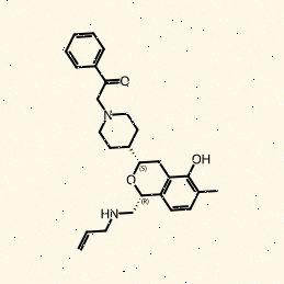 C=CCNC[C@@H]1O[C@H](C2CCN(CC(=O)c3ccccc3)CC2)Cc2c1ccc(C)c2O